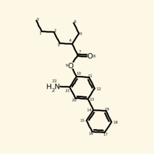 CCCCC(CC)C(=O)Oc1ccc(-c2ccccc2)cc1N